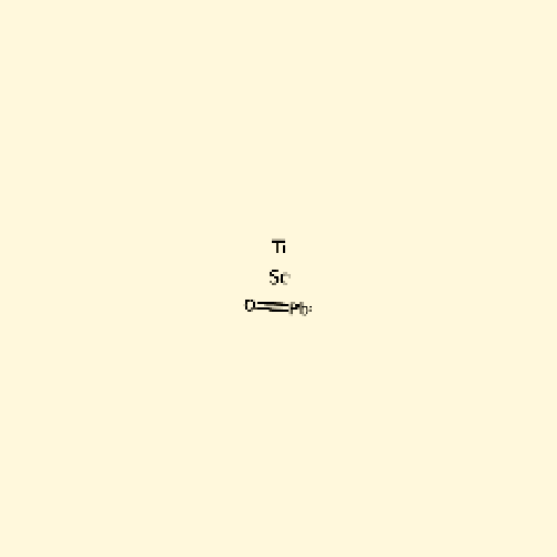 [O]=[Pb].[Sc].[Ti]